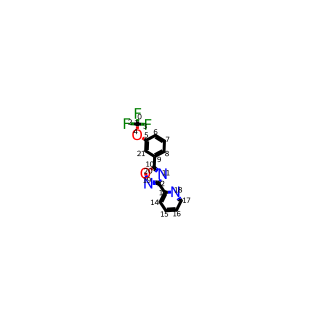 FC(F)(F)Oc1cccc(-c2nc(-c3ccccn3)no2)c1